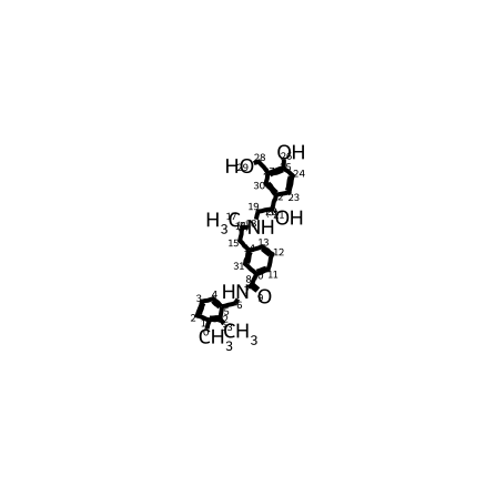 Cc1cccc(CNC(=O)c2cccc(C[C@@H](C)NC[C@@H](O)c3ccc(O)c(CO)c3)c2)c1C